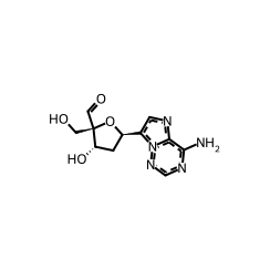 Nc1ncnn2c([C@H]3C[C@H](O)[C@@](C=O)(CO)O3)cnc12